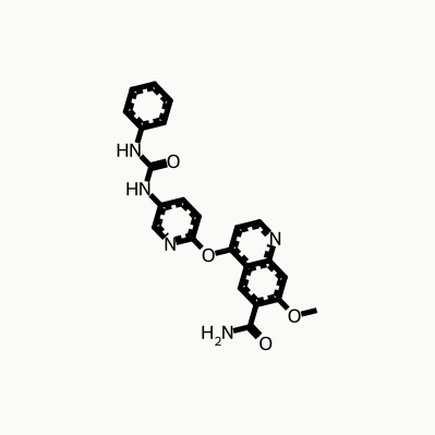 COc1cc2nccc(Oc3ccc(NC(=O)Nc4ccccc4)cn3)c2cc1C(N)=O